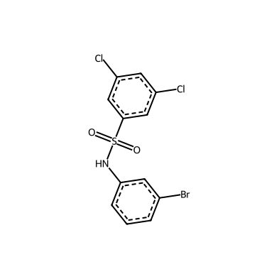 O=S(=O)(Nc1cccc(Br)c1)c1cc(Cl)cc(Cl)c1